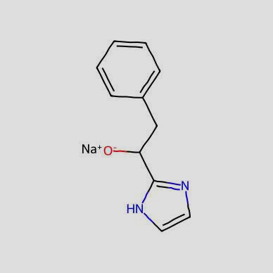 [Na+].[O-]C(Cc1ccccc1)c1ncc[nH]1